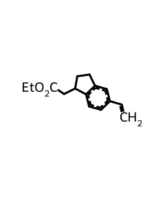 C=Cc1ccc2c(c1)CCC2CC(=O)OCC